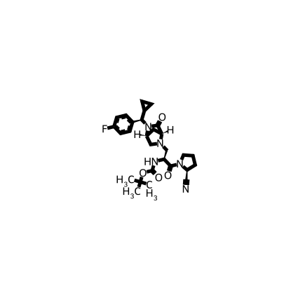 CC(C)(C)OC(=O)N[C@@H](CN1C[C@@H]2C[C@H]1C(=O)N2[C@@H](c1ccc(F)cc1)C1CC1)C(=O)N1CCC[C@H]1C#N